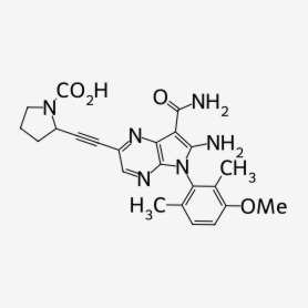 COc1ccc(C)c(-n2c(N)c(C(N)=O)c3nc(C#CC4CCCN4C(=O)O)cnc32)c1C